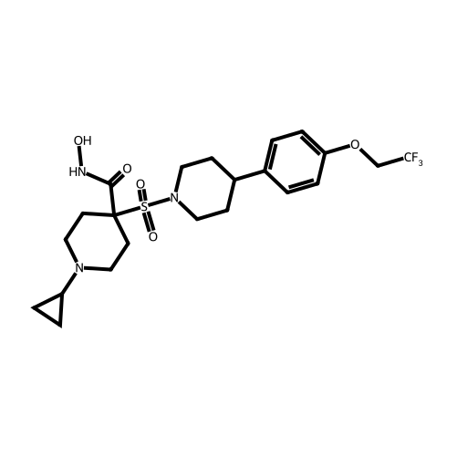 O=C(NO)C1(S(=O)(=O)N2CCC(c3ccc(OCC(F)(F)F)cc3)CC2)CCN(C2CC2)CC1